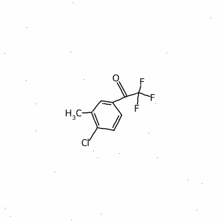 Cc1cc(C(=O)C(F)(F)F)ccc1Cl